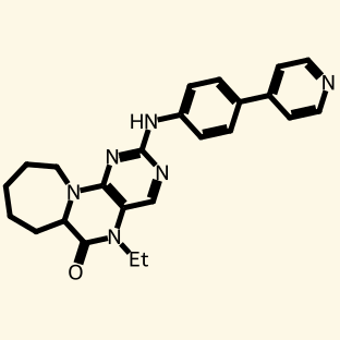 CCN1C(=O)C2CCCCCN2c2nc(Nc3ccc(-c4ccncc4)cc3)ncc21